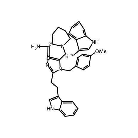 COc1ccc(Cn2c(CCc3c[nH]c4ccccc34)nnc2[C@@H](Cc2c[nH]c3ccccc23)N2CCCC[C@H]2C(N)=O)cc1